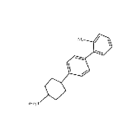 CCCCCCCC1CCC(c2ccc(-c3ccccc3C#N)cc2)CC1